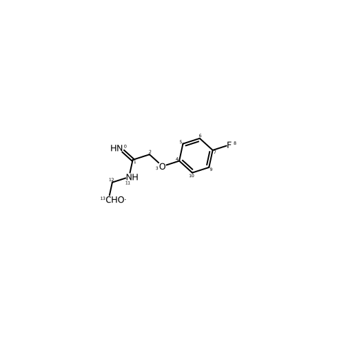 N=C(COc1ccc(F)cc1)NC[C]=O